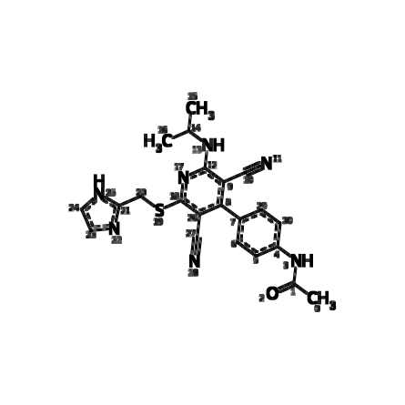 CC(=O)Nc1ccc(-c2c(C#N)c(NC(C)C)nc(SCc3ncc[nH]3)c2C#N)cc1